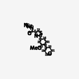 COc1cc(-c2nc(C(=O)N=[N+]=[N-])cs2)ccc1C1=CCOCC1